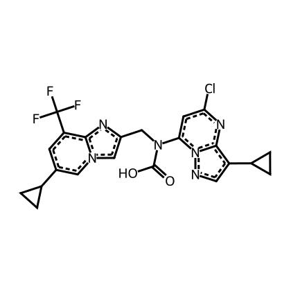 O=C(O)N(Cc1cn2cc(C3CC3)cc(C(F)(F)F)c2n1)c1cc(Cl)nc2c(C3CC3)cnn12